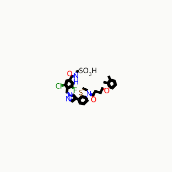 Cc1cccc(OCCCC(=O)N2CCSc3c(-c4cnn(Cc5c(F)cc(C(=O)NCS(=O)(=O)O)cc5Cl)c4)cccc32)c1C